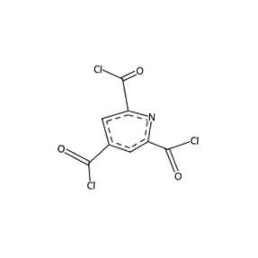 O=C(Cl)c1cc(C(=O)Cl)nc(C(=O)Cl)c1